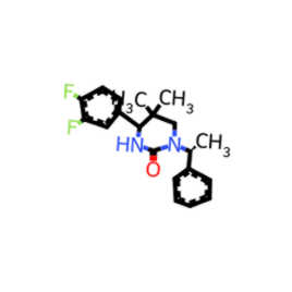 C[C@H](c1ccccc1)N1CC(C)(C)C(c2ccc(F)c(F)c2)NC1=O